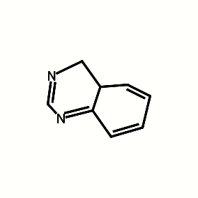 C1=CC2=NC=NCC2C=C1